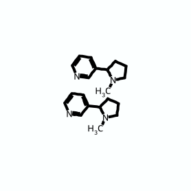 CN1CCCC1c1cccnc1.CN1CCCC1c1cccnc1